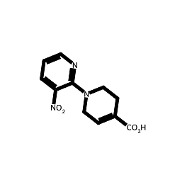 O=C(O)C1=CCN(c2ncccc2[N+](=O)[O-])CC1